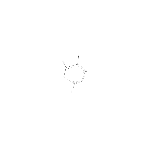 N#Cc1ccc(F)nc1Cl